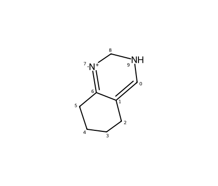 C1=C2CCCCC2=[N+]CN1